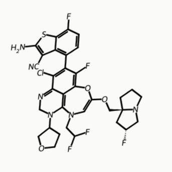 N#Cc1c(N)sc2c(F)ccc(-c3c(F)c4c5c(c3Cl)=NCN(C3CCOC3)C=5N(CC(F)F)C=C(OC[C@@]35CCCN3C[C@H](F)C5)O4)c12